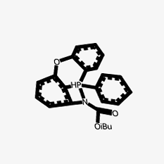 CC(C)COC(=O)N1c2cccc3c2[PH]1(c1ccccc1)c1ccccc1O3